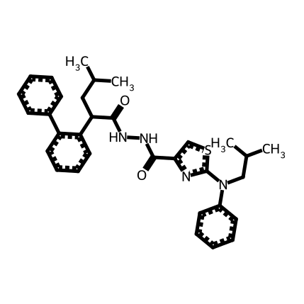 CC(C)CC(C(=O)NNC(=O)c1csc(N(CC(C)C)c2ccccc2)n1)c1ccccc1-c1ccccc1